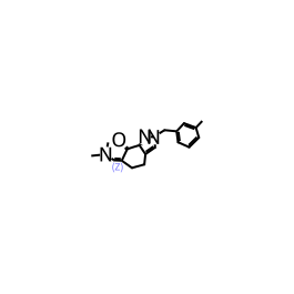 Cc1cccc(Cn2cc3c(n2)C(=O)/C(=C\N(C)C)CC3)c1